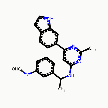 Cc1nc(NC(C)c2cccc(NC=O)c2)cc(-c2ccc3cc[nH]c3c2)n1